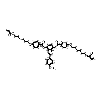 C=CC(=O)OCCCCCCOc1ccc(C(=O)Oc2ccc(OC(=O)c3ccc(OCCCCCCOC(=O)C=C)cc3)c3sc(-c4ccc([N+](=O)[O-])cc4)nc23)cc1